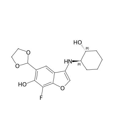 Oc1c(C2OCCO2)cc2c(N[C@@H]3CCCC[C@H]3O)coc2c1F